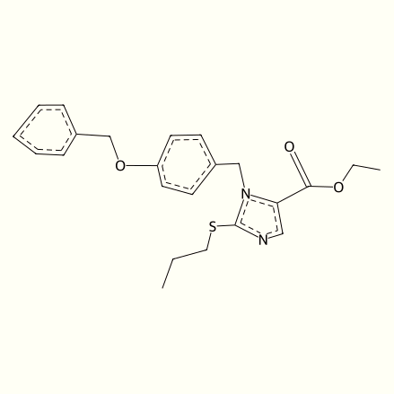 CCCSc1ncc(C(=O)OCC)n1Cc1ccc(OCc2ccccc2)cc1